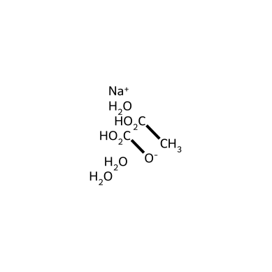 CC(=O)O.O.O.O.O=C([O-])O.[Na+]